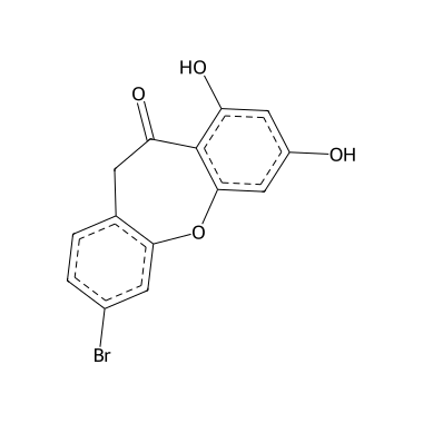 O=C1Cc2ccc(Br)cc2Oc2cc(O)cc(O)c21